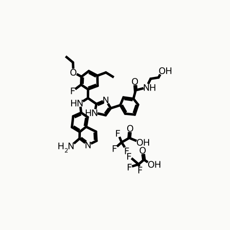 CCOc1cc(CC)cc(C(Nc2ccc3c(N)nccc3c2)c2nc(-c3cccc(C(=O)NCCO)c3)c[nH]2)c1F.O=C(O)C(F)(F)F.O=C(O)C(F)(F)F